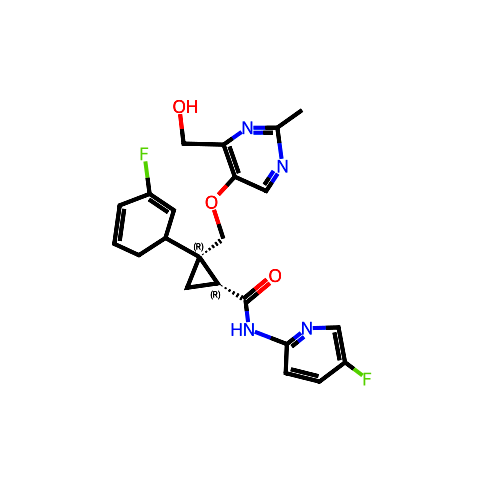 Cc1ncc(OC[C@@]2(C3C=C(F)C=CC3)C[C@H]2C(=O)Nc2ccc(F)cn2)c(CO)n1